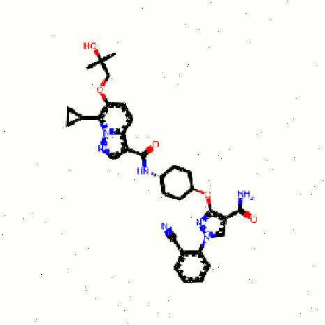 CC(C)(O)COc1ccc2c(C(=O)N[C@H]3CC[C@H](Oc4nn(-c5ccccc5C#N)cc4C(N)=O)CC3)cnn2c1C1CC1